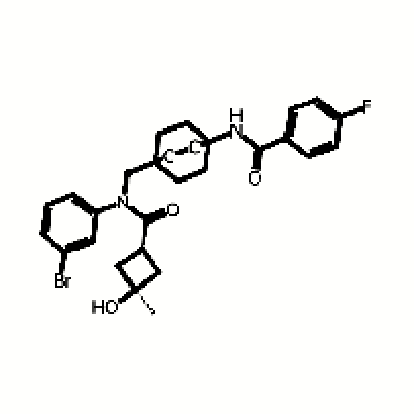 C[C@]1(O)C[C@@H](C(=O)N(CC23CCC(NC(=O)c4ccc(F)cc4)(CC2)CC3)c2cccc(Br)c2)C1